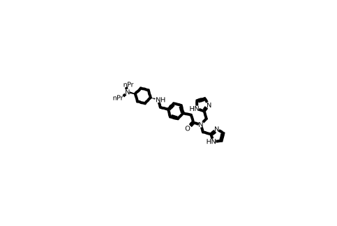 CCCN(CCC)[C@H]1CC[C@H](NCc2ccc(CC(=O)N(Cc3ncc[nH]3)Cc3ncc[nH]3)cc2)CC1